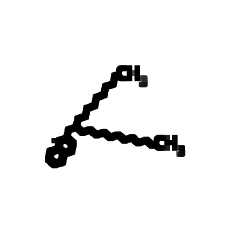 CCCCCCCCCCCCC(CCCCCCCCCC)Cc1[c]c2ccccc2cc1